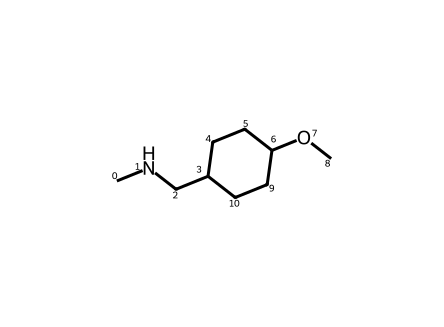 CNCC1CCC(OC)CC1